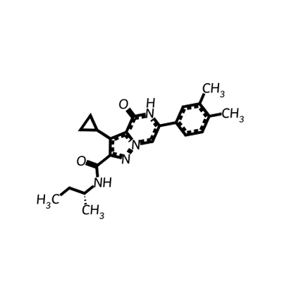 CC[C@@H](C)NC(=O)c1nn2cc(-c3ccc(C)c(C)c3)[nH]c(=O)c2c1C1CC1